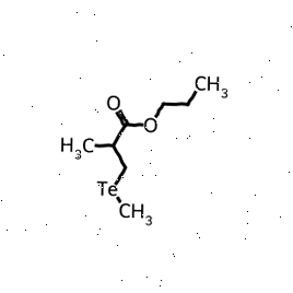 CCCOC(=O)C(C)C[Te]C